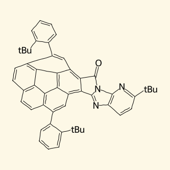 CC(C)(C)c1ccc2nc3c4c5cc(-c6ccccc6C(C)(C)C)c6ccc7ccc8c(-c9ccccc9C(C)(C)C)cc(c4c(=O)n3c2n1)c1c8c7c6c51